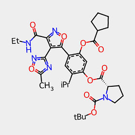 CCNC(=O)c1noc(-c2cc(C(C)C)c(OC(=O)[C@@H]3CCCN3C(=O)OC(C)(C)C)cc2OC(=O)C2CCCC2)c1-c1noc(C)n1